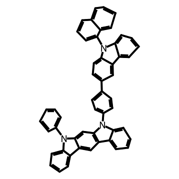 c1ccc(-n2c3ccccc3c3cc4c5ccccc5n(-c5ccc(-c6ccc7c(c6)c6ccccc6n7-c6cccc7ccccc67)cc5)c4cc32)cc1